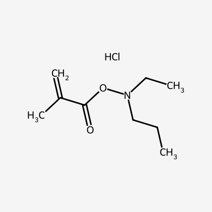 C=C(C)C(=O)ON(CC)CCC.Cl